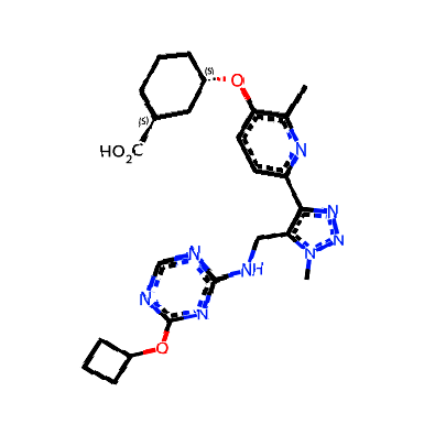 Cc1nc(-c2nnn(C)c2CNc2ncnc(OC3CCC3)n2)ccc1O[C@H]1CCC[C@H](C(=O)O)C1